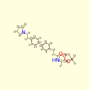 CC(NC(=O)CCc1ccc(-c2ccc(CCN3CCCC3C)cc2)cc1)C(=O)OC(C)(C)C